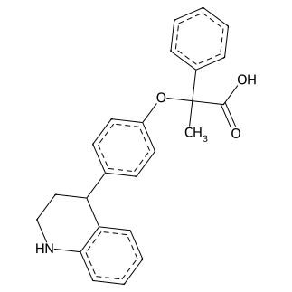 CC(Oc1ccc(C2CCNc3ccccc32)cc1)(C(=O)O)c1ccccc1